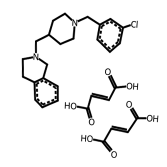 Clc1cccc(CN2CCC(CN3CCc4ccccc4C3)CC2)c1.O=C(O)/C=C/C(=O)O.O=C(O)/C=C/C(=O)O